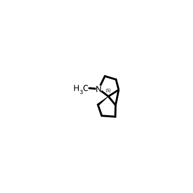 CN1CCC2C3CCC[C@]321